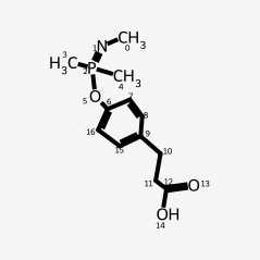 CN=P(C)(C)Oc1ccc(CCC(=O)O)cc1